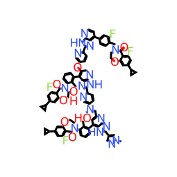 CN(Cc1cc(-c2cccc(N3CCOc4cc(C5CC5)cc(F)c4C3=O)c2CO)c2[nH]c(-c3cnn(C)c3)nc2n1)c1ccc(-c2nc3c(-c4cccc(N5CCOc6cc(C7CC7)cc(F)c6C5=O)c4CO)c(Oc4ccc(-c5nc6c(-c7ccc(CN8CCOc9cc(C%10CC%10)cc(F)c9C8=O)c(F)c7)ccnc6[nH]5)nc4)cnc3[nH]2)nc1